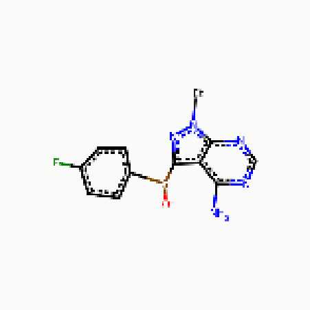 CCn1nc([S+]([O-])c2ccc(F)cc2)c2c(N)ncnc21